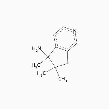 CC1(C)Cc2cnccc2C1(C)N